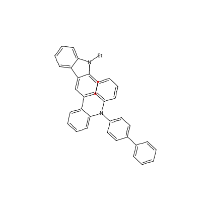 CCn1c2ccccc2c2cc(-c3ccccc3N(c3ccccc3)c3ccc(-c4ccccc4)cc3)ccc21